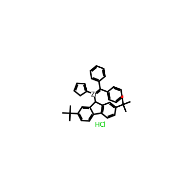 CC(C)(C)c1ccc2c(c1)[CH]([Zr]([C]1=CC=CC1)=[C](c1ccccc1)c1ccccc1)c1cc(C(C)(C)C)ccc1-2.Cl